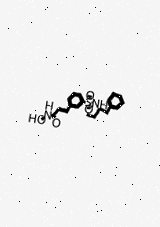 CCC(Cc1ccccc1)NS(=O)(=O)c1cccc(/C=C/C(=O)NO)c1